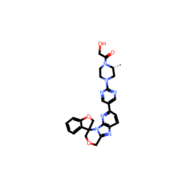 C[C@@H]1CN(c2ncc(-c3ccc4nc5n(c4n3)C3(COC5)COc4ccccc43)cn2)CCN1C(=O)CO